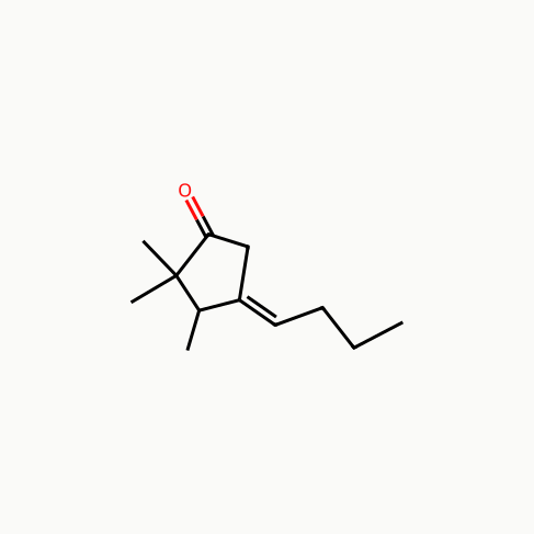 CCCC=C1CC(=O)C(C)(C)C1C